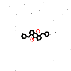 O=C1c2cccc(Cc3ccccc3)c2C(=O)c2cccc(Cc3ccccc3)c21